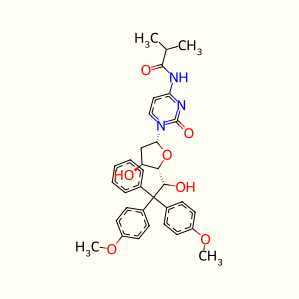 COc1ccc(C(c2ccccc2)(c2ccc(OC)cc2)C(O)[C@H]2O[C@@H](n3ccc(NC(=O)C(C)C)nc3=O)C[C@@H]2O)cc1